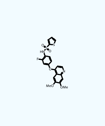 COc1cc2nccc(Oc3ccc(NS(=O)(=O)c4cccs4)c(F)c3)c2cc1OC